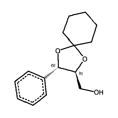 OC[C@@H]1OC2(CCCCC2)O[C@H]1c1ccccc1